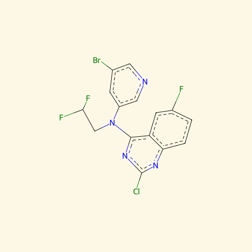 Fc1ccc2nc(Cl)nc(N(CC(F)F)c3cncc(Br)c3)c2c1